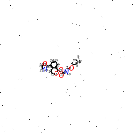 CN(COCC[Si](C)(C)C)C(=O)OC1OCCc2c(-c3ncco3)cccc21